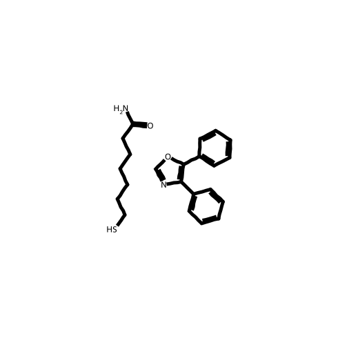 NC(=O)CCCCCCS.c1ccc(-c2ncoc2-c2ccccc2)cc1